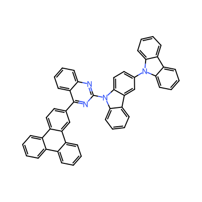 c1ccc2c(-c3ccc4c5ccccc5c5ccccc5c4c3)nc(-n3c4ccccc4c4cc(-n5c6ccccc6c6ccccc65)ccc43)nc2c1